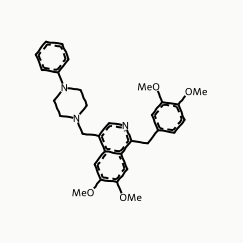 COc1ccc(Cc2ncc(CN3CCN(c4ccccc4)CC3)c3cc(OC)c(OC)cc23)cc1OC